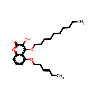 CC/C=C/CCOc1cccc2oc(=O)c(O)c(OCCCCCCCCCC)c12